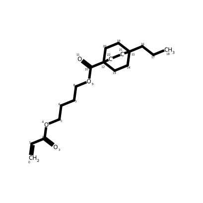 C=CC(=O)OCCCCOC(=O)C12CCC(CCC)(CC1)CC2